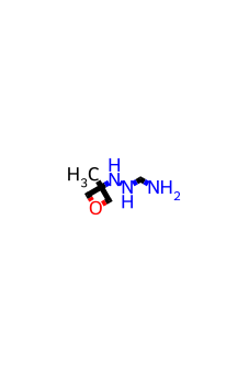 CC1(NNCN)COC1